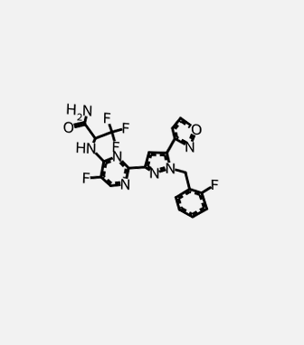 NC(=O)C(Nc1nc(-c2cc(-c3ccon3)n(Cc3ccccc3F)n2)ncc1F)C(F)(F)F